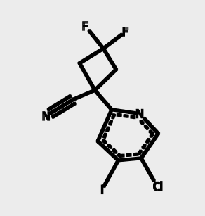 N#CC1(c2cc(I)c(Cl)cn2)CC(F)(F)C1